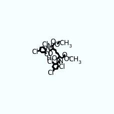 CCOC(=O)C1=NN(c2c(Cl)cc(Cl)cc2Cl)C(=O)C1=CC=Cc1c(C(=O)OCC)nn(-c2c(Cl)cc(Cl)cc2Cl)c1O